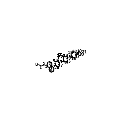 CCCCOC(=O)c1ccc(-c2ccc([C@H]3CC[C@H](CCC)CC3)cc2F)cc1